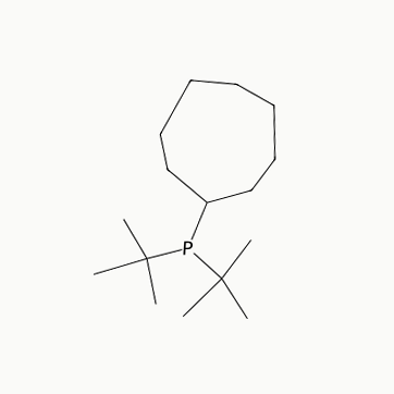 CC(C)(C)P(C1CCCCCCC1)C(C)(C)C